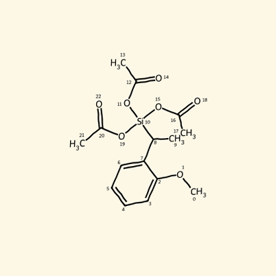 COc1ccccc1C(C)[Si](OC(C)=O)(OC(C)=O)OC(C)=O